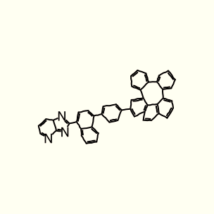 C1=CC2N=C(c3ccc(-c4ccc(-c5cc6ccc7cccc8c9ccccc9c9ccccc9c(c5)c6c78)cc4)c4ccccc34)N=C2N=C1